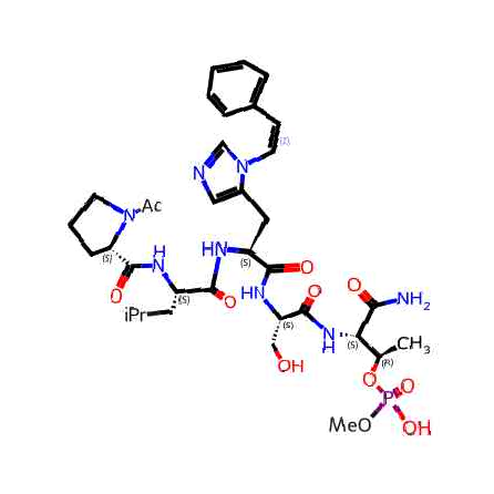 COP(=O)(O)O[C@H](C)[C@H](NC(=O)[C@H](CO)NC(=O)[C@H](Cc1cncn1/C=C\c1ccccc1)NC(=O)[C@H](CC(C)C)NC(=O)[C@@H]1CCCN1C(C)=O)C(N)=O